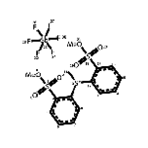 COS(=O)(=O)c1ccccc1[S+](C)c1ccccc1S(=O)(=O)OC.[F][Sb-]([F])([F])([F])([F])[F]